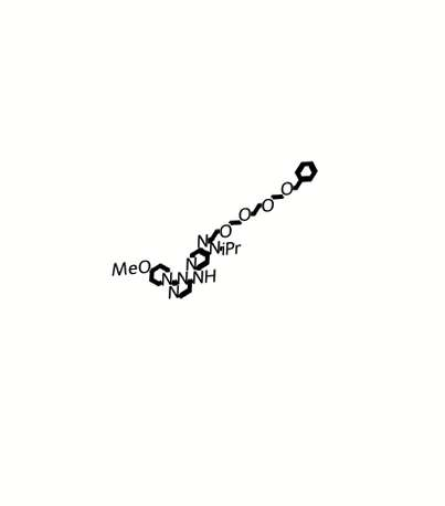 COC1CCN(c2nccc(Nc3cc4c(cn3)nc(COCCOCCOCCOCc3ccccc3)n4C(C)C)n2)CC1